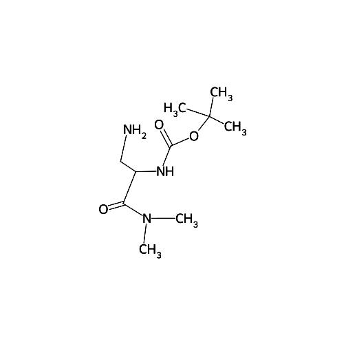 CN(C)C(=O)C(CN)NC(=O)OC(C)(C)C